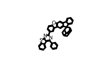 c1ccc(-c2nc(-c3ccc4oc5cc6c(cc5c4c3)C3(c4ccccc4-6)C4CC5CC(C4)CC3C5)nc3sc4ccccc4c23)cc1